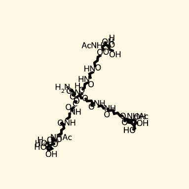 CC(=O)NC1C(O)[C@@H](O)C(CO)O[C@H]1OCCCCC(=O)NCCCNC(=O)CCOCC(COCCC(=O)NCCCNC(=O)CCCCO[C@@H]1OC(C2(CO)CC(O)[C@H]2O)C1(C)NC(C)=O)(COCCC(=O)NCCCNC(=O)CCCCO[C@@H]1OC2C3C(CO)[C@H](O)C(O)C3C21NC(C)=O)NC(=O)CON